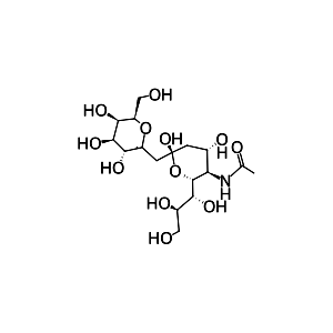 CC(=O)N[C@H]1[C@H]([C@H](O)[C@H](O)CO)O[C@](O)(C[C]2O[C@H](CO)[C@H](O)[C@H](O)[C@H]2O)C[C@@H]1O